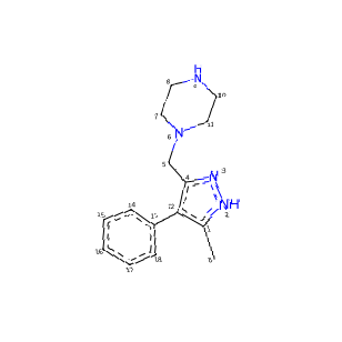 Cc1[nH]nc(CN2CCNCC2)c1-c1ccccc1